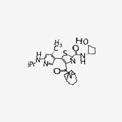 Cc1cc(NC(C)C)ncc1-c1sc(C(=O)N[C@H]2CC[C@@H]2O)nc1C(=O)N1C2CCC1CC2